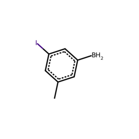 Bc1cc(C)cc(I)c1